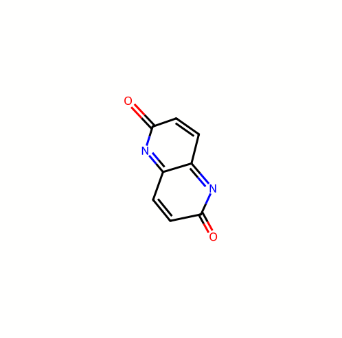 O=C1C=CC2=NC(=O)C=CC2=N1